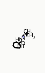 CN(C)/C=N/NC(=O)C12BC(CCCC1)CC2